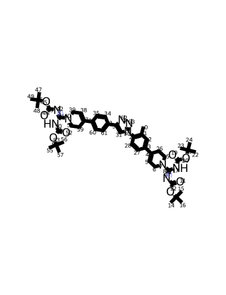 Cc1cc(C2=CCN(/C(=N/C(=O)OC(C)(C)C)NC(=O)OC(C)(C)C)CC2)ccc1-n1cc(-c2ccc(C3=CCN(/C(=N/C(=O)OC(C)(C)C)NC(=O)OC(C)(C)C)CC3)cc2)nn1